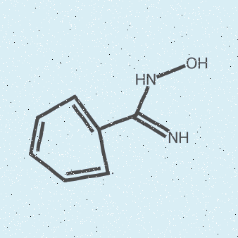 N=C(NO)c1[c]cccc1